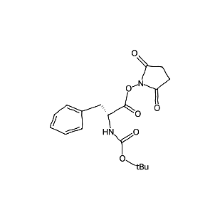 CC(C)(C)OC(=O)N[C@H](Cc1ccccc1)C(=O)ON1C(=O)CCC1=O